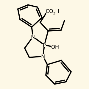 C/C=C(\CC(=O)O)[P]1(O)N(c2ccccc2)CCN1c1ccccc1